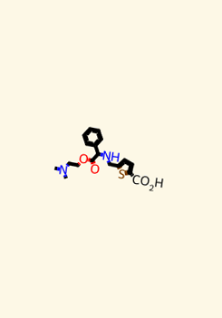 CN(C)CCOC(=O)C(NCc1ccc(C(=O)O)s1)c1ccccc1